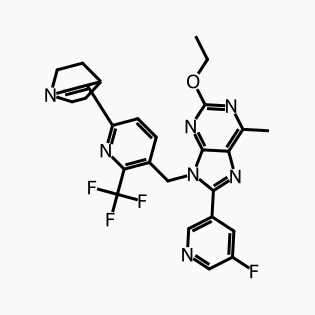 CCOc1nc(C)c2nc(-c3cncc(F)c3)n(Cc3ccc(C4=CN5CCC4CC5)nc3C(F)(F)F)c2n1